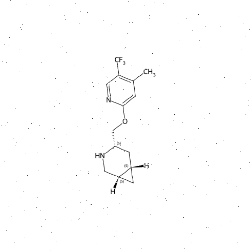 Cc1cc(OC[C@@H]2C[C@@H]3C[C@@H]3CN2)ncc1C(F)(F)F